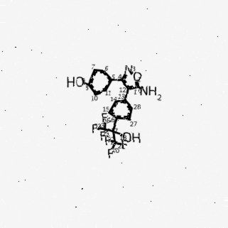 Nc1onc(-c2ccc(O)cc2)c1-c1ccc(C(O)(C(F)(F)F)C(F)(F)F)cc1